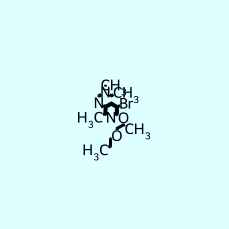 CCCOC[C@@H](C)Oc1nc(C)c(/N=C\N(C)CC)cc1Br